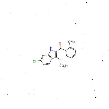 COc1ccccc1C(=O)c1[nH]c2cc(Cl)ccc2c1CC(=O)O